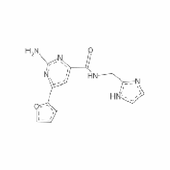 Nc1nc(C(=O)NCc2ncc[nH]2)cc(-c2ccco2)n1